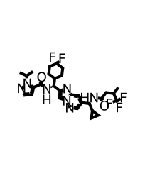 CC(C)n1nccc1C(=O)N[C@H](c1cn2ncc([C@@H](NC(=O)CC(C)C(F)(F)F)C3CC3)cc2n1)C1CCC(F)(F)CC1